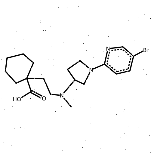 CN(CCC1(C(=O)O)CCCCC1)C1CCN(c2ccc(Br)cn2)C1